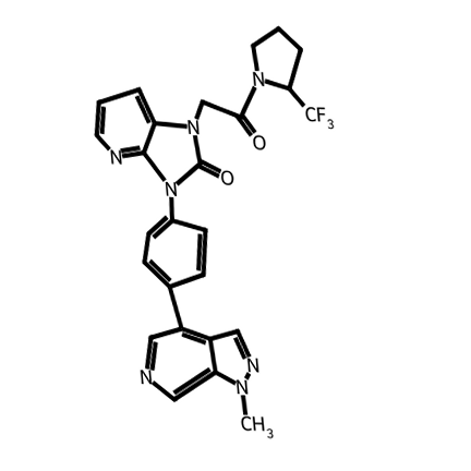 Cn1ncc2c(-c3ccc(-n4c(=O)n(CC(=O)N5CCCC5C(F)(F)F)c5cccnc54)cc3)cncc21